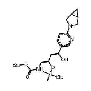 CC(C)(C)OC(=O)NCC(CC(O)c1ccc(N2CC3CC3C2)nc1)O[Si](C)(C)C(C)(C)C